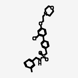 Cc1cccc(CNS(=O)(=O)Cc2ccc(-c3ccc(OCCN4CCOCC4)cc3Cl)cc2)c1